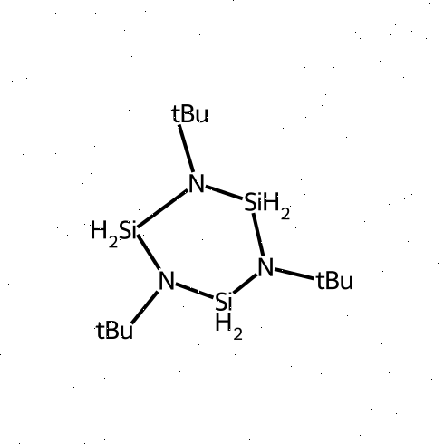 CC(C)(C)N1[SiH2]N(C(C)(C)C)[SiH2]N(C(C)(C)C)[SiH2]1